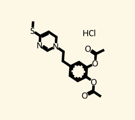 CSC1=CCN(CCc2ccc(OC(C)=O)c(OC(C)=O)c2)C=N1.Cl